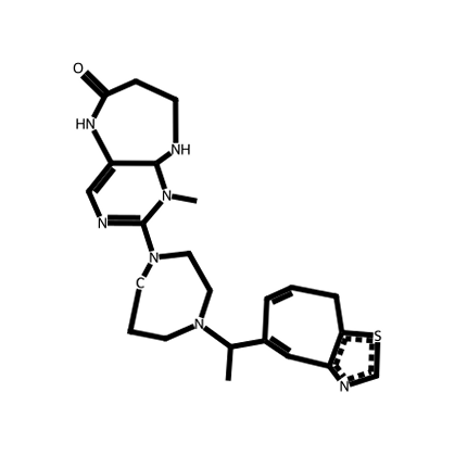 CC(C1=Cc2ncsc2CC=C1)N1CCCN(C2=NC=C3NC(=O)CCNC3N2C)CC1